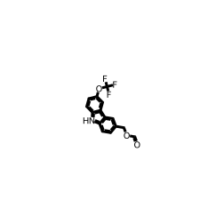 O=COCc1ccc2[nH]c3ccc(OC(F)(F)F)cc3c2c1